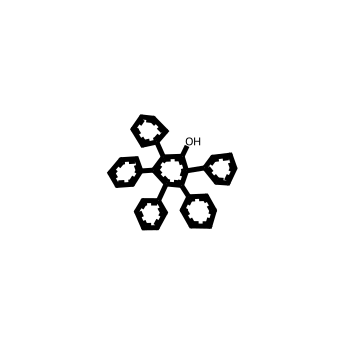 Oc1c(-c2ccccc2)c(-c2ccccc2)c(-c2ccccc2)c(-c2ccccc2)c1-c1ccccc1